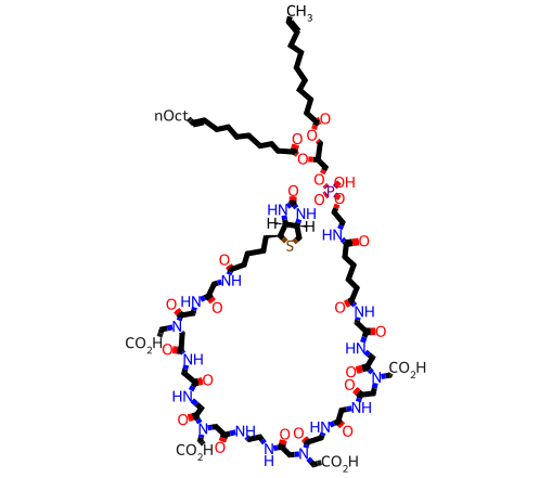 C/C=C/CCCCCCCC(=O)OCC(COP(=O)(O)OCCNC(=O)CCCCC(=O)NCC(=O)NCC(=O)N(CC(=O)O)CC(=O)NCC(=O)NCC(=O)N(CC(=O)O)CC(=O)NCCNC(=O)CN(CC(=O)O)C(=O)CNC(=O)CNC(=O)CN(CC(=O)O)C(=O)CNC(=O)CNC(=O)CCCC[C@@H]1SC[C@@H]2NC(=O)N[C@@H]21)OC(=O)CCCCCCC/C=C/CCCCCCCC